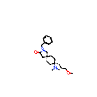 COCCC[C@]1(N(C)C)CC[C@]2(CC1)CC(=O)N(Cc1ccccc1)C2